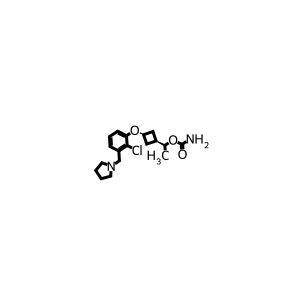 CC(OC(N)=O)[C@H]1C[C@H](Oc2cccc(CN3CCCC3)c2Cl)C1